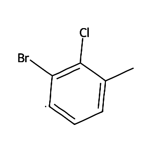 Cc1cc[c]c(Br)c1Cl